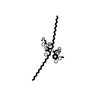 CCCCCCCCCCCCCCC(=O)CC1c2csc(NC(=O)CN(C)C)c2C(CC(=O)CCCCCCCCCCCCCC)N1C(CS(C)(=O)=O)c1ccc(OC)c(OCC)c1